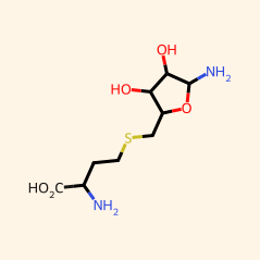 NC(CCSCC1OC(N)C(O)C1O)C(=O)O